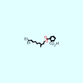 CCC(CC)CCCCCC(C)CCOC(=O)c1ccccc1C(=O)O